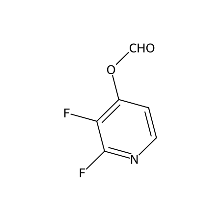 O=COc1ccnc(F)c1F